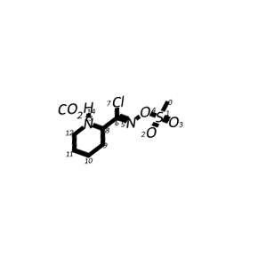 CS(=O)(=O)ON=C(Cl)C1CCCCN1C(=O)O